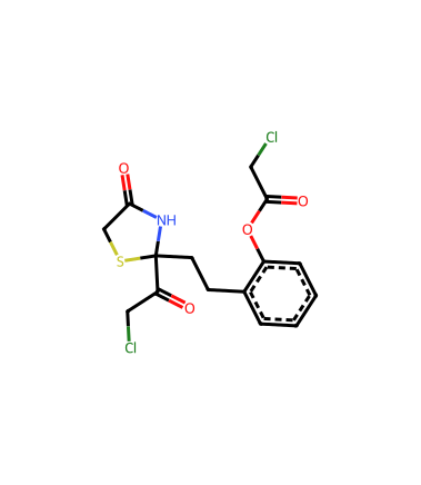 O=C1CSC(CCc2ccccc2OC(=O)CCl)(C(=O)CCl)N1